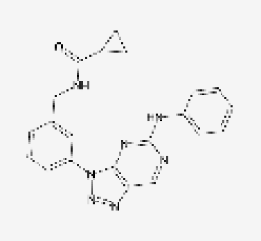 O=C(NCc1cccc(-n2nnc3cnc(Nc4ccccc4)nc32)c1)C1CC1